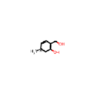 B[C@H]1C=CC(CO)C(O)C1